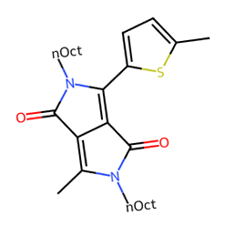 CCCCCCCCN1C(=O)C2=C(c3ccc(C)s3)N(CCCCCCCC)C(=O)C2=C1C